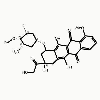 COc1cccc2c1C(=O)c1c(O)c3c(c(O)c1C2=O)C[C@](O)(C(=O)CO)CC3O[C@H]1C[C@@H](C)[C@@H](OC(C)C)[C@@H](N)C1